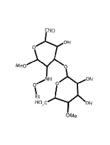 CCONC1C(OC)OC(C=O)C(O)C1OC1OC(C(=O)O)C(OC)C(O)C1O